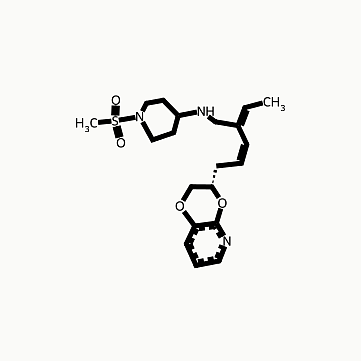 C/C=C(\C=C/C[C@H]1COc2cccnc2O1)CNC1CCN(S(C)(=O)=O)CC1